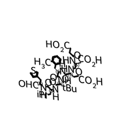 Cc1ccccc1C[C@H](NC(=O)[C@H](CCC(=O)O)NC(=O)[C@H](CC(=O)O)NC(=O)CCC(=O)O)C(=O)N[C@H](C(=O)N[C@@H](CC(C)C)C(=O)N[C@H](C=O)Cc1ccsc1)C(C)(C)C